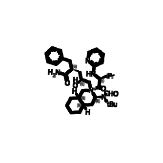 CC(C)[C@H](Nc1ccccn1)C(=O)[N+]1(C[C@@H](O)C[C@@H](Cc2ccccc2)C(N)=O)C[C@H]2CCCC[C@H]2C[C@@H]1N(C=O)C(C)(C)C